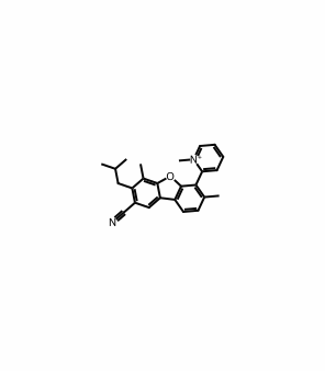 Cc1ccc2c(oc3c(C)c(CC(C)C)c(C#N)cc32)c1-c1cccc[n+]1C